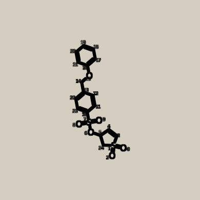 O=S1(=O)C=CC(OS(=O)(=O)c2ccc(COc3ccccc3)cc2)C1